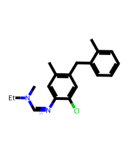 CCN(C)/C=N\c1cc(C)c(Cc2ccccc2C)cc1Cl